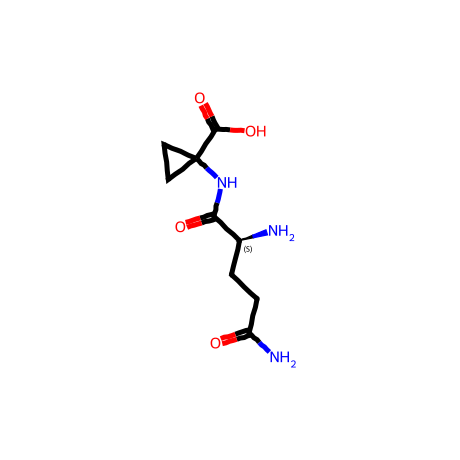 NC(=O)CC[C@H](N)C(=O)NC1(C(=O)O)CC1